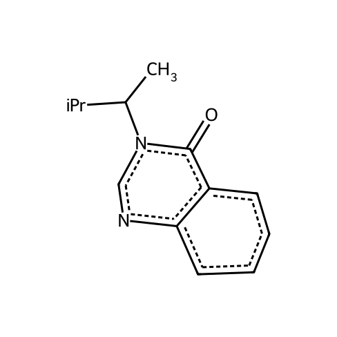 CC(C)C(C)n1cnc2ccccc2c1=O